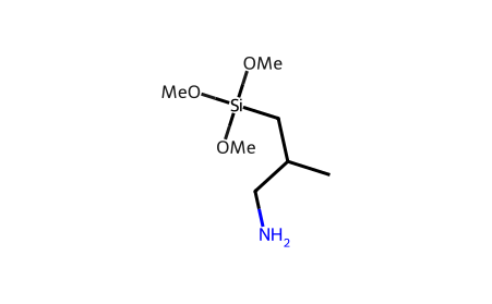 CO[Si](CC(C)CN)(OC)OC